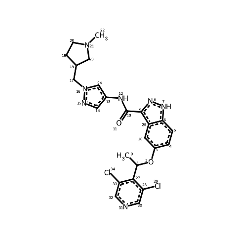 CC(Oc1ccc2[nH]nc(C(=O)Nc3cnn(CC4CCN(C)C4)c3)c2c1)c1c(Cl)cncc1Cl